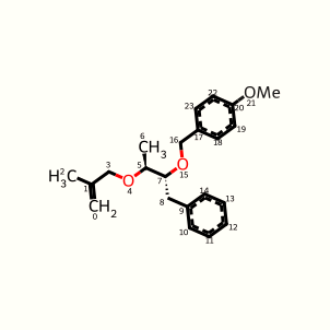 C=C(C)CO[C@@H](C)[C@@H](Cc1ccccc1)OCc1ccc(OC)cc1